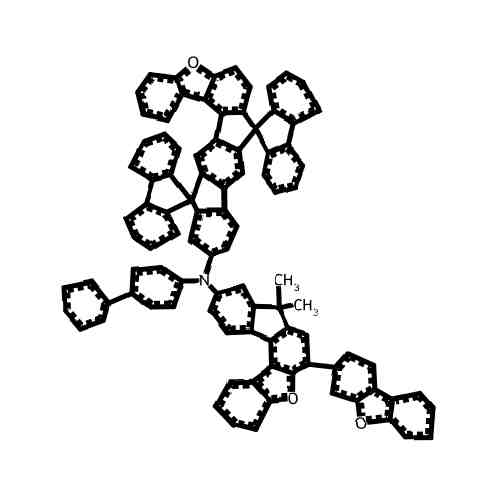 CC1(C)c2cc(N(c3ccc(-c4ccccc4)cc3)c3ccc4c(c3)C3(c5ccccc5-c5ccccc53)c3cc5c(cc3-4)C3(c4ccccc4-c4ccccc43)c3ccc4oc6ccccc6c4c3-5)ccc2-c2c1cc(-c1ccc3c(c1)oc1ccccc13)c1oc3ccccc3c21